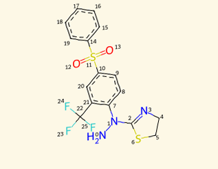 NN(C1=NCCS1)c1ccc(S(=O)(=O)c2ccccc2)cc1C(F)(F)F